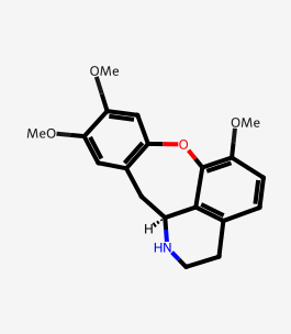 COc1cc2c(cc1OC)Oc1c(OC)ccc3c1[C@H](C2)NCC3